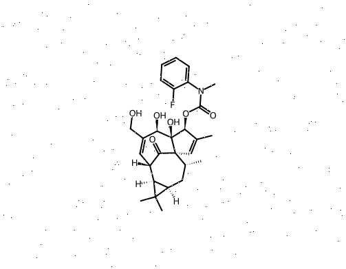 CC1=C[C@]23C(=O)[C@@H](C=C(CO)[C@@H](O)[C@]2(O)[C@H]1OC(=O)N(C)c1ccccc1F)[C@H]1[C@@H](C[C@H]3C)C1(C)C